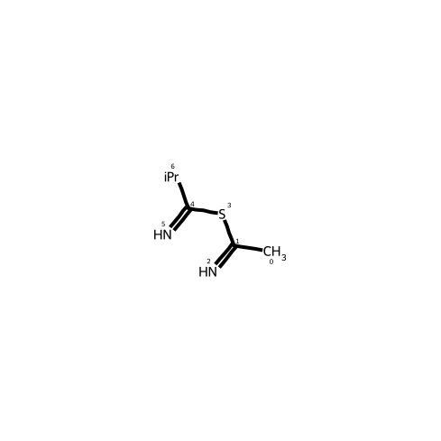 CC(=N)SC(=N)C(C)C